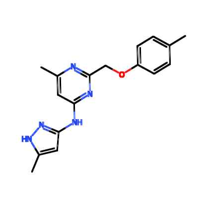 Cc1ccc(OCc2nc(C)cc(Nc3cc(C)[nH]n3)n2)cc1